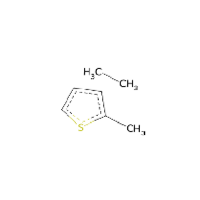 CC.Cc1cccs1